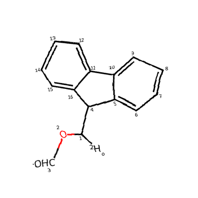 [2H]C(O[C]=O)C1c2ccccc2-c2ccccc21